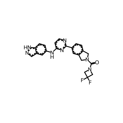 O=C(N1Cc2ccc(-c3nccc(Nc4ccc5[nH]ncc5c4)n3)cc2C1)N1CC(F)(F)C1